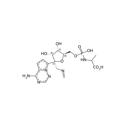 C=NC[C@@]1(c2ccc3c(N)ncnn23)O[C@H](COP(=O)(O)NC(C)C(=O)O)[C@@H](O)[C@H]1O